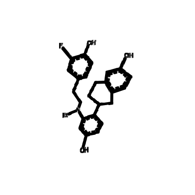 CCN(CCc1ccc(O)c(F)c1)c1cc(O)ccc1C1CCc2cc(O)ccc2C1